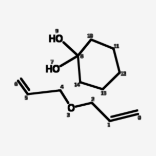 C=CCOCC=C.OC1(O)CCCCC1